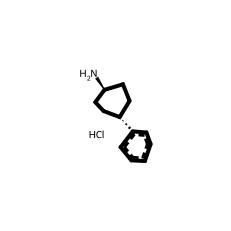 Cl.N[C@H]1CC[C@H](c2ccccc2)CC1